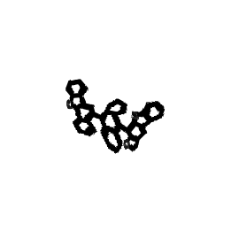 c1ccc2c(c1)oc1c3ccccc3c(-c3c4ccccc4c(-c4c5occc5cc5c4sc4ccccc45)c4ccccc34)cc21